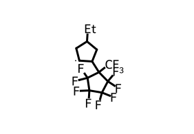 [CH2]CC1C[CH]C(C2(C(F)(F)F)C(F)(F)C(F)(F)C(F)(F)C2(F)F)C1